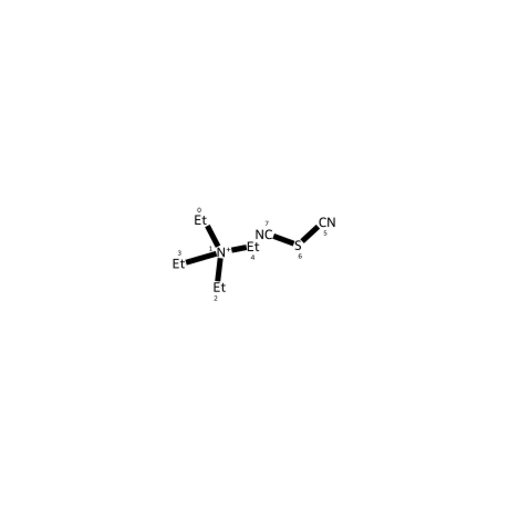 CC[N+](CC)(CC)CC.N#CSC#N